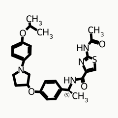 CC(=O)Nc1nc(C(=O)N[C@@H](C)c2ccc(OC3CCN(c4ccc(OC(C)C)cc4)C3)cc2)cs1